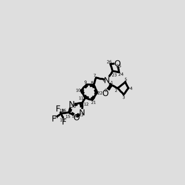 O=C(C1CCC1)N(Cc1ccc(-c2noc(C(F)(F)F)n2)cc1)C1COC1